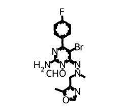 Cc1ocnc1CN(C)/N=c1/c(Br)c(-c2ccc(F)cc2)nc(N)n1C=O